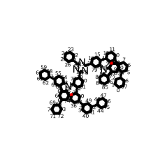 c1ccc(-c2cccc(-c3cccc(-c4ccc(-c5nc(-c6ccccc6)nc(-c6ccc(-c7cccc(-c8cccc(-c9ccccc9)c8)c7)c(-n7c8ccc(-c9ccccc9)cc8c8cc(-c9ccccc9)ccc87)c6)n5)cc4-n4c5ccccc5c5ccccc54)c3)c2)cc1